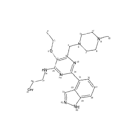 CCOc1c(CN2CCN(C)CC2)nc(-c2cccc3[nH]ncc23)nc1NCCO